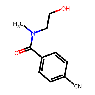 CN(CCO)C(=O)c1ccc(C#N)cc1